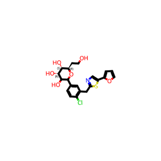 OCC[C@H]1OC(c2ccc(Cl)c(Cc3ncc(-c4ccco4)s3)c2)C(O)[C@H](O)[C@@H]1O